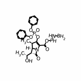 BNPOC(=O)C1=C(OP(=O)(Oc2ccccc2)Oc2ccccc2)[C@H](C)[C@@H]2[C@@H]([C@@H](C)O)C(=O)N12